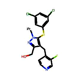 CC(C)n1nc(CO)c(Cc2ccncc2F)c1Sc1cc(Cl)cc(Cl)c1